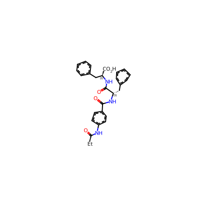 CCC(=O)Nc1ccc(C(=O)N[C@@H](Cc2ccccc2)C(=O)N[C@@H](Cc2ccccc2)C(=O)O)cc1